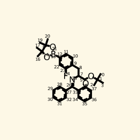 CC(C)(C)OC(=O)C(Cc1ccc(B2OC(C)(C)C(C)(C)O2)cc1F)N=C(c1ccccc1)c1ccccc1